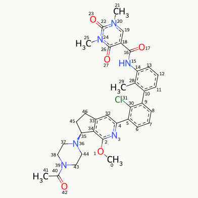 COc1nc(-c2cccc(-c3cccc(NC(=O)c4cn(C)c(=O)n(C)c4=O)c3C)c2Cl)cc2c1[C@@H](N1CCN(C(C)=O)CC1)CC2